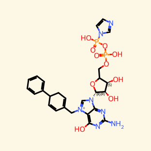 Nc1nc(O)c2c(n1)n([C@@H]1OC(COP(=O)(O)OP(=O)(O)n3ccnc3)[C@@H](O)[C@H]1O)c[n+]2CC1=CCC(c2ccccc2)C=C1